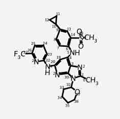 Cc1nc2c(Nc3ccc(C4CC4)cc3S(C)(=O)=O)cc(Nc3cccc(C(F)(F)F)n3)nc2n1C1CCCCO1